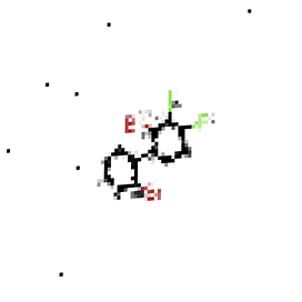 Fc1ccc(-c2ccccc2Br)c(Br)c1F